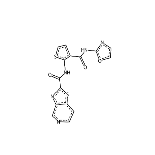 O=C(Nc1sccc1C(=O)Nc1ncco1)c1nc2cnccc2s1